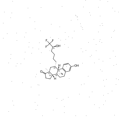 C=C[C@@]12CCc3cc(O)ccc3[C@H]1[C@@H](CCCC[C@H](O)C(F)(F)F)C[C@]1(C)C(=O)CC[C@@H]21